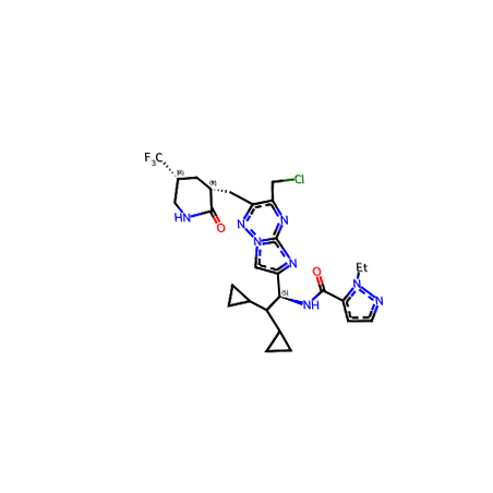 CCn1nccc1C(=O)N[C@H](c1cn2nc(C[C@H]3C[C@@H](C(F)(F)F)CNC3=O)c(CCl)nc2n1)C(C1CC1)C1CC1